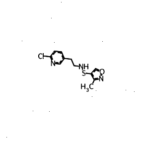 Cc1nocc1SNCCc1ccc(Cl)nc1